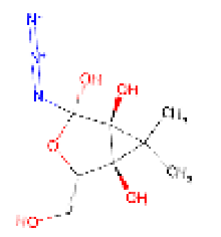 CC1(C)[C@]2(O)[C@@]1(O)[C@H](CO)O[C@@]2(O)N=[N+]=[N-]